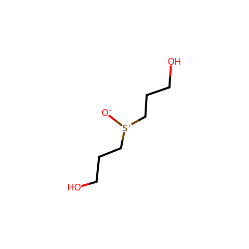 [O-][S+](CCCO)CCCO